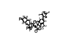 Cc1nc(C)c(-c2ccc3c(c2)CC[C@@]32OC(=O)N(CC(=O)N(Cc3ccc(F)cc3)C(C)C(F)(F)F)C2=O)s1